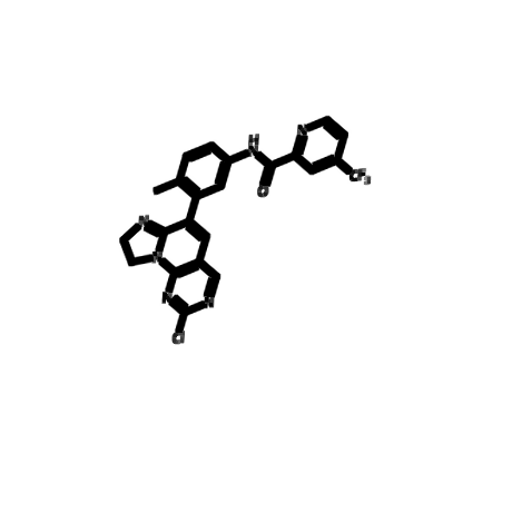 Cc1ccc(NC(=O)c2cc(C(F)(F)F)ccn2)cc1C1=Cc2cnc(Cl)nc2N2CCN=C12